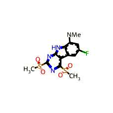 CNc1cc(F)cc2c1[nH]c1nc(S(C)(=O)=O)nc(S(C)(=O)=O)c12